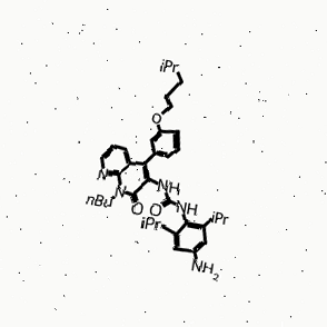 CCCCn1c(=O)c(NC(=O)Nc2c(C(C)C)cc(N)cc2C(C)C)c(-c2cccc(OCCCC(C)C)c2)c2cccnc21